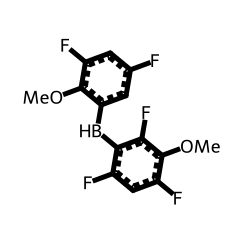 COc1c(F)cc(F)cc1Bc1c(F)cc(F)c(OC)c1F